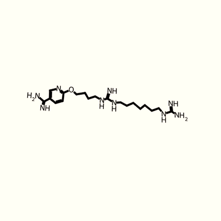 N=C(N)NCCCCCCCNC(=N)NCCCCOc1ccc(C(=N)N)cn1